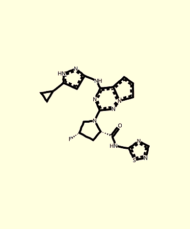 O=C(Nc1ncns1)[C@@H]1C[C@H](F)CN1c1nc(Nc2cc(C3CC3)[nH]n2)c2cccn2n1